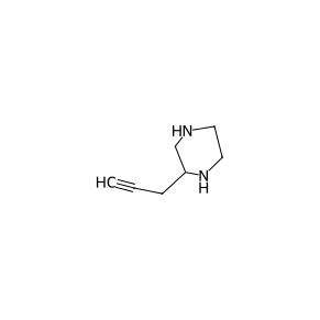 C#CCC1CNCCN1